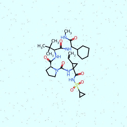 C=CC1CC1(NC(=O)N1CCC[C@H]1C(=O)N[C@H](C(=O)N[C@H](C(=O)NC)C1CCCCC1)C(C)(C)C)C(=O)NS(=O)(=O)C1CC1